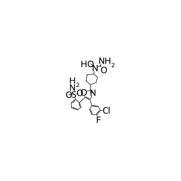 NC(=O)N(O)C1CCC(c2nc(-c3ccc(F)c(Cl)c3)c(-c3ccccc3S(N)(=O)=O)o2)CC1